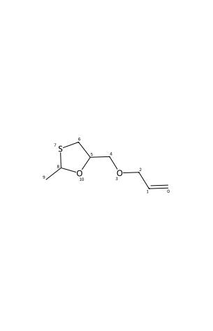 C=CCOCC1CSC(C)O1